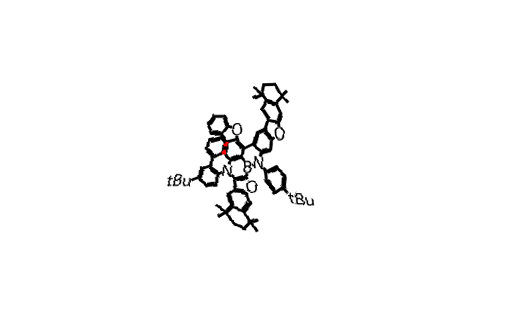 CC(C)(C)c1ccc(N2B3c4oc5cc6c(cc5c4N(c4ccc(C(C)(C)C)cc4-c4ccccc4)c4cc5c(oc7ccccc75)c(c43)-c3cc4c(cc32)oc2cc3c(cc24)C(C)(C)CCC3(C)C)C(C)(C)CCC6(C)C)cc1